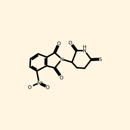 O=C1NC(=S)CCC1N1C(=O)c2cccc([N+](=O)[O-])c2C1=O